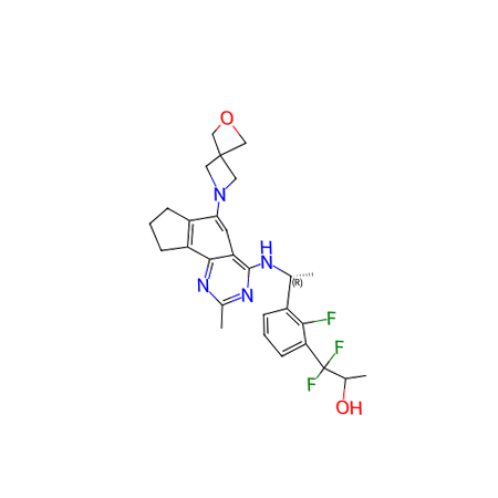 Cc1nc(N[C@H](C)c2cccc(C(F)(F)C(C)O)c2F)c2cc(N3CC4(COC4)C3)c3c(c2n1)CCC3